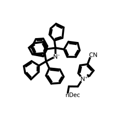 CCCCCCCCCCCC[n+]1ccc(C#N)cc1.c1ccc(C([N-]C(c2ccccc2)(c2ccccc2)c2ccccc2)(c2ccccc2)c2ccccc2)cc1